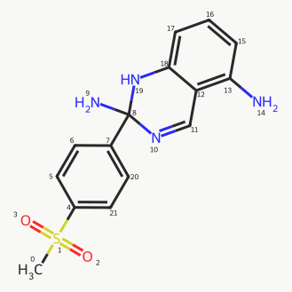 CS(=O)(=O)c1ccc(C2(N)N=Cc3c(N)cccc3N2)cc1